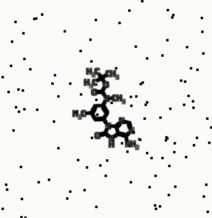 Cc1cc(N(C)C(=O)OC(C)(C)C)cc(-n2c(=O)[nH]c3c(N)ncnc32)c1